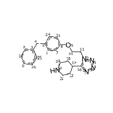 c1ccc(Cc2ccc(OCCn3nnnc3C3CCNCC3)cc2)cc1